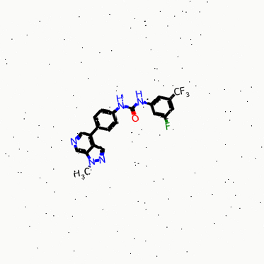 Cn1ncc2c(-c3ccc(NC(=O)Nc4cc(F)cc(C(F)(F)F)c4)cc3)cncc21